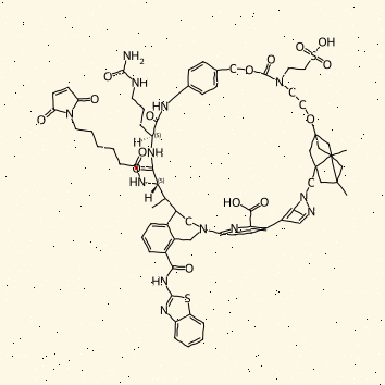 Cc1c2cnn1CC13CC4(C)CC(CC1(C)C4)(C3)OCCN(CCS(=O)(=O)O)C(=O)OCc1ccc(cc1)NC(=O)[C@H](CCCNC(N)=O)NC(=O)[C@@H](NC(=O)CCCCCN1C(=O)C=CC1=O)C(C)C1CN(Cc3c(C(=O)Nc4nc5ccccc5s4)cccc31)c1ccc-2c(C(=O)O)n1